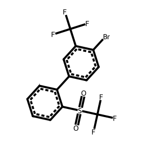 O=S(=O)(c1ccc[c]c1-c1ccc(Br)c(C(F)(F)F)c1)C(F)(F)F